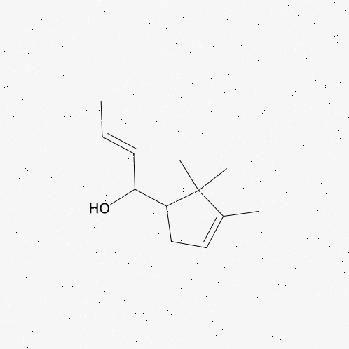 CC=CC(O)C1CC=C(C)C1(C)C